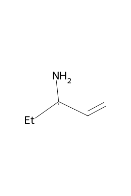 C=C[C](N)CC